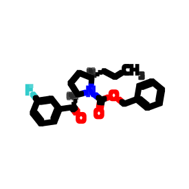 CCC[C@H]1CC[C@@H](C(=O)c2cccc(F)c2)N1C(=O)OCc1ccccc1